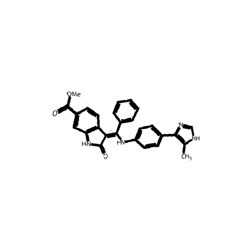 COC(=O)c1ccc2c(c1)NC(=O)/C2=C(\Nc1ccc(-c2nc[nH]c2C)cc1)c1ccccc1